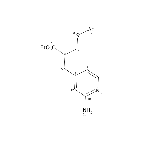 CCOC(=O)C(CSC(C)=O)Cc1ccnc(N)c1